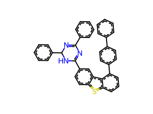 c1ccc(C2=NC(c3ccccc3)NC(c3ccc4sc5cccc(-c6ccc(-c7ccccc7)cc6)c5c4c3)=N2)cc1